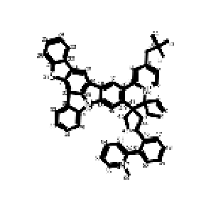 C=CC1(CC)[n+]2ccc(CC(C)(C)C)cc2-c2cc3c4cc5c6ccccc6sc5c5c6ccccc6n(c3cc2C1(CC)CCc1ccccc1-c1cccc[n+]1C)c45